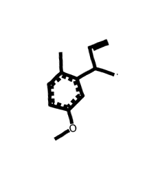 [CH2]C(C=C)c1cc(OC)ccc1C